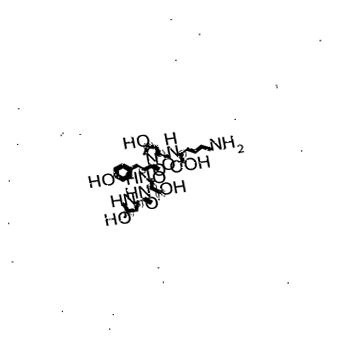 C[C@@H](O)[C@H](NC(=O)[C@@H]1C[C@@H](O)CN1)C(=O)N[C@@H](Cc1ccc(O)cc1)C(=O)N1C[C@H](O)C[C@H]1C(=O)N[C@@H](CCCCN)C(=O)O